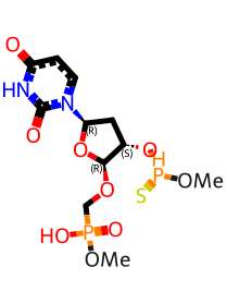 CO[PH](=S)O[C@H]1C[C@H](n2ccc(=O)[nH]c2=O)O[C@@H]1OCP(=O)(O)OC